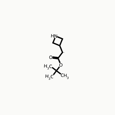 CC(C)(C)OC(=O)[CH]C1CNC1